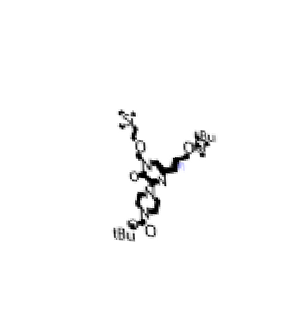 CC(C)(C)OC(=O)N1CCN(c2nc(/C=C/CO[Si](C)(C)C(C)(C)C)cn(COCC[Si](C)(C)C)c2=O)CC1